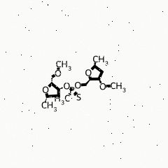 COC[C@H]1O[C@@H](C)C[C@H]1OP(C)(=S)OC[C@H]1O[C@@H](C)C[C@H]1OC